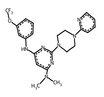 CN(C)c1cc(Nc2cccc(OC(F)(F)F)c2)nc(N2CCN(c3ccccn3)CC2)n1